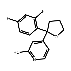 Oc1cc(C2(c3ccc(F)cc3F)CCCO2)ccn1